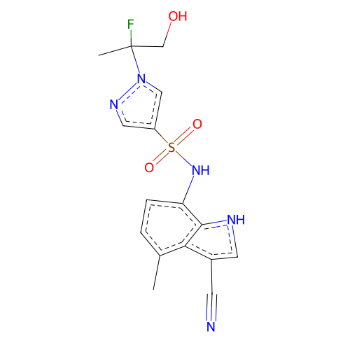 Cc1ccc(NS(=O)(=O)c2cnn(C(C)(F)CO)c2)c2[nH]cc(C#N)c12